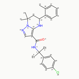 CCC(CC)(NC(=O)c1cnn2c1NC(c1ccccc1C)CC2(C)C)c1ccc(Cl)cc1